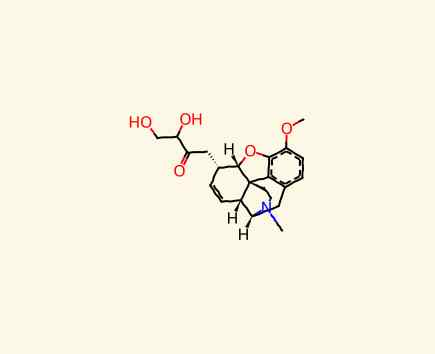 COc1ccc2c3c1O[C@H]1[C@@H](CC(=O)C(O)CO)C=C[C@H]4[C@@H](C2)N(C)CC[C@@]341